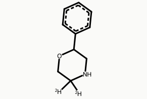 [2H]C1([2H])COC(c2ccccc2)CN1